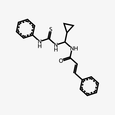 O=C(C=Cc1ccccc1)NC(NC(=S)Nc1ccccc1)C1CC1